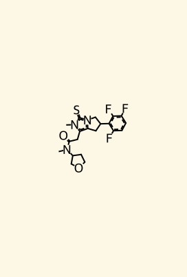 CN(C(=O)Cc1c2n(c(=S)n1C)CC(c1c(F)ccc(F)c1F)C2)C1CCOC1